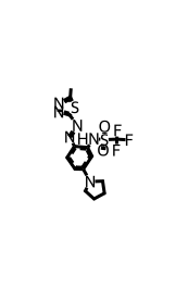 Cc1nnc(N=Nc2ccc(N3CCCC3)cc2NS(=O)(=O)C(F)(F)F)s1